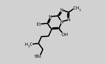 CCc1nc2nc(C)nn2c(O)c1CCC(C)CC(C)(C)C